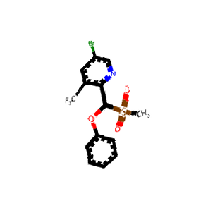 CS(=O)(=O)C(Oc1ccccc1)c1ncc(Br)cc1C(F)(F)F